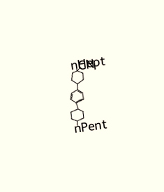 CCCCCCCC1(C#N)CCC(c2ccc(C3CCC(CCCCC)CC3)cc2)CC1